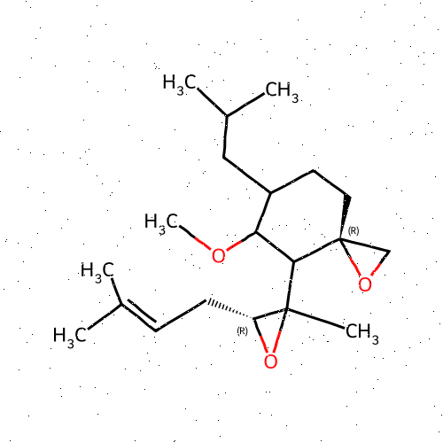 COC1C(CC(C)C)CC[C@]2(CO2)C1C1(C)O[C@@H]1CC=C(C)C